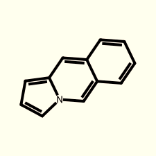 c1ccc2cn3cccc3cc2c1